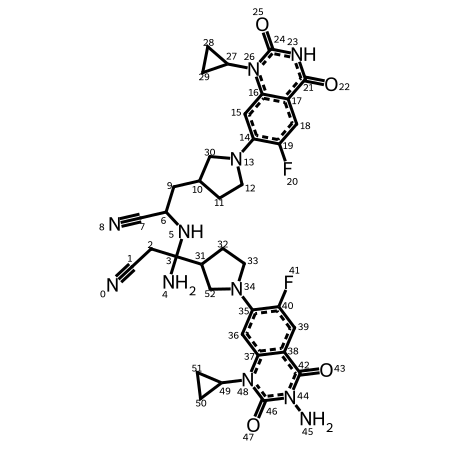 N#CCC(N)(NC(C#N)CC1CCN(c2cc3c(cc2F)c(=O)[nH]c(=O)n3C2CC2)C1)C1CCN(c2cc3c(cc2F)c(=O)n(N)c(=O)n3C2CC2)C1